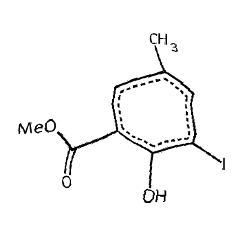 COC(=O)c1cc(C)cc(I)c1O